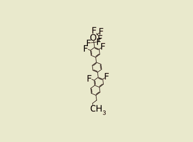 CCCc1ccc2c(F)c(-c3ccc(-c4cc(F)c(C(F)(F)OC(F)(F)F)c(F)c4)cc3)c(F)cc2c1